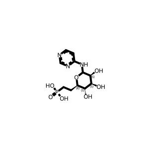 O=P(O)(O)CC[C@H]1OC(Nc2ccncn2)[C@@H](O)[C@@H](O)[C@@H]1O